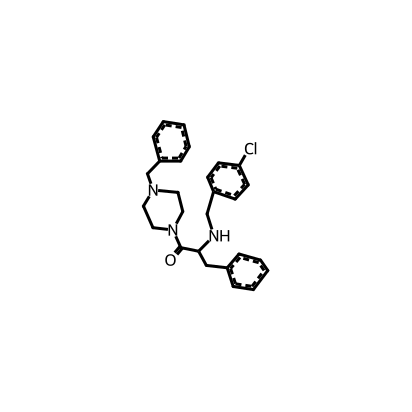 O=C(C(Cc1ccccc1)NCc1ccc(Cl)cc1)N1CCN(Cc2ccccc2)CC1